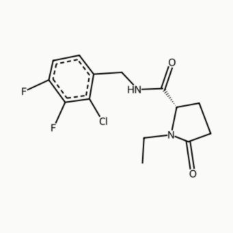 CCN1C(=O)CC[C@H]1C(=O)NCc1ccc(F)c(F)c1Cl